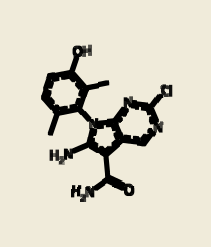 Cc1ccc(O)c(C)c1-n1c(N)c(C(N)=O)c2cnc(Cl)nc21